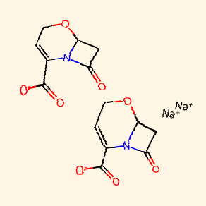 O=C([O-])C1=CCOC2CC(=O)N12.O=C([O-])C1=CCOC2CC(=O)N12.[Na+].[Na+]